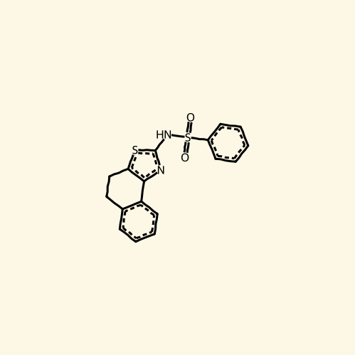 O=S(=O)(Nc1nc2c(s1)CCc1ccccc1-2)c1ccccc1